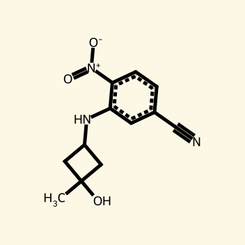 CC1(O)CC(Nc2cc(C#N)ccc2[N+](=O)[O-])C1